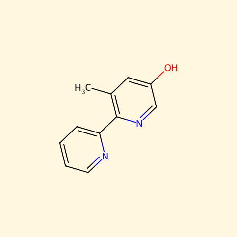 Cc1cc(O)cnc1-c1ccccn1